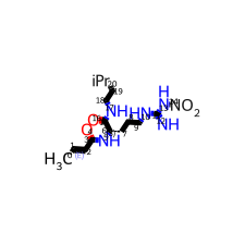 C/C=C/C(=O)N[C@@H](CCCNC(=N)N[N+](=O)[O-])C(=O)NCCC(C)C